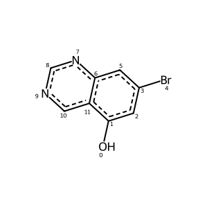 Oc1cc(Br)cc2ncncc12